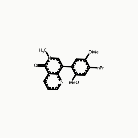 CCCc1cc(OC)c(-c2cn(C)c(=O)c3cccnc23)cc1OC